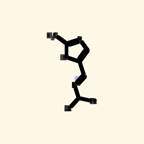 CCC(CC)/N=C/c1cpc(C)[pH]1